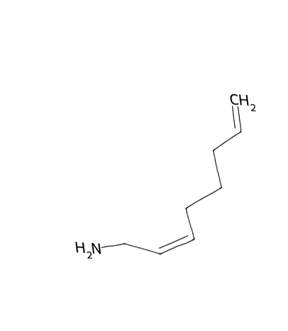 C=CCCC/C=C\CN